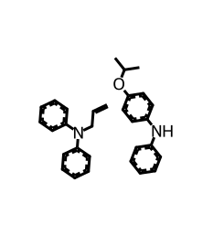 C=CCN(c1ccccc1)c1ccccc1.CC(C)Oc1ccc(Nc2ccccc2)cc1